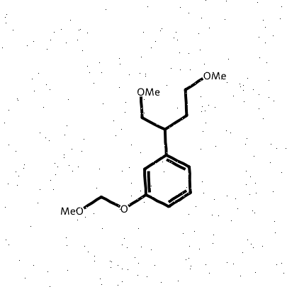 COCCC(COC)c1cccc(OCOC)c1